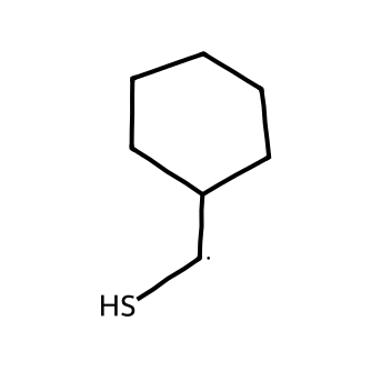 S[CH]C1CCCCC1